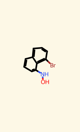 ONc1cccc2cccc(Br)c12